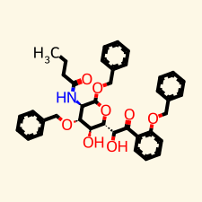 CCCC(=O)N[C@H]1C(OCc2ccccc2)O[C@H](C(O)C(=O)c2ccccc2OCc2ccccc2)[C@@H](O)[C@@H]1OCc1ccccc1